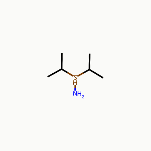 CC(C)[SH](N)C(C)C